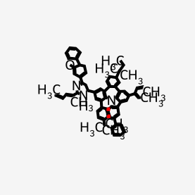 C/C=C\C=C(/C)C1N=C(C2=CCC3C(=C2)Oc2ccccc23)CC(c2cc3c(c(-c4ccc(C(C)(C)C)cc4)c2)-n2c4ccc(-c5ccccc5)cc4c4cc(C(/C=C\C)=C/C)cc(c42)C2=CC(C(C)(C)CC)CC=C23)N1